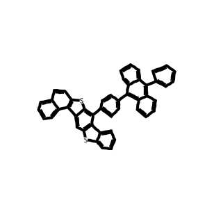 c1ccc(-c2c3ccccc3c(-c3ccc(-c4c5sc6ccc7ccccc7c6c5cc5sc6ccccc6c45)cc3)c3ccccc23)cc1